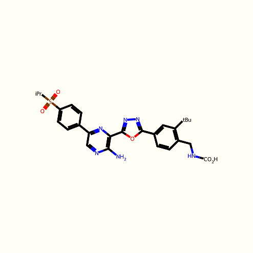 CC(C)S(=O)(=O)c1ccc(-c2cnc(N)c(-c3nnc(-c4ccc(CNC(=O)O)c(C(C)(C)C)c4)o3)n2)cc1